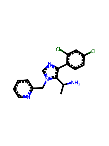 CC(N)c1c(-c2ccc(Cl)cc2Cl)ncn1Cc1ccccn1